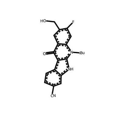 CCC(C)n1c2cc(F)c(CO)cc2c(=O)c2c3ccc(C#N)cc3[nH]c21